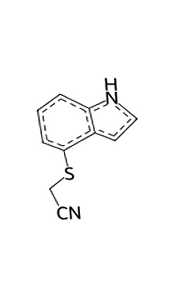 N#CCSc1cccc2[nH]ccc12